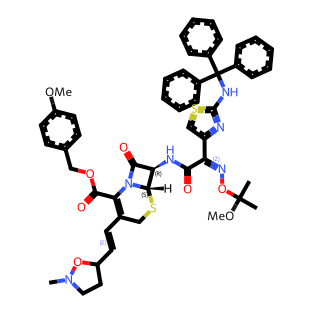 COc1ccc(COC(=O)C2=C(/C=C/C3CCN(C)O3)CS[C@H]3[C@H](NC(=O)/C(=N\OC(C)(C)OC)c4csc(NC(c5ccccc5)(c5ccccc5)c5ccccc5)n4)C(=O)N23)cc1